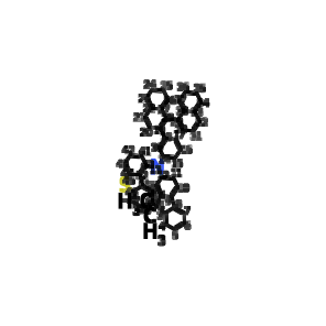 CC1(C)c2ccccc2-c2ccc(N(c3cccc(-c4ccc5ccccc5c4-c4cccc5ccccc45)c3)c3cccc4sc5ccccc5c34)cc21